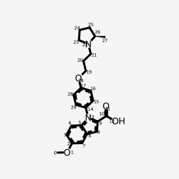 COc1ccc2c(c1)cc(C(=O)O)n2-c1ccc(OCCCN2CCC[C@H]2C)cc1